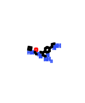 Nc1nc2cc(-c3cc[nH]n3)ccc2c2cn(CC(=O)NC3CCC3)nc12